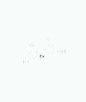 Oc1cc(Br)c(Cc2c(Br)cc(O)cc2Br)c(Br)c1